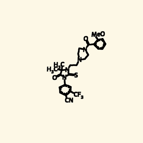 COc1ccccc1C(=O)N1CCN(CCN2C(=S)N(c3ccc(C#N)c(C(F)(F)F)c3)C(=O)C2(C)C)CC1